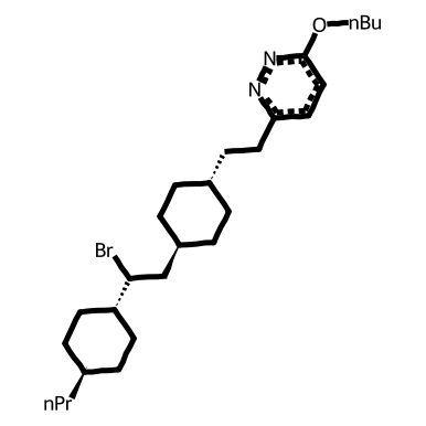 CCCCOc1ccc(CC[C@H]2CC[C@H](CC(Br)[C@H]3CC[C@H](CCC)CC3)CC2)nn1